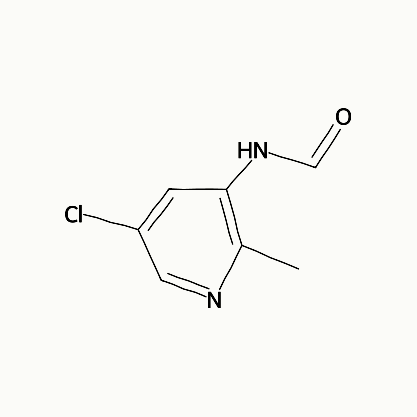 Cc1ncc(Cl)cc1NC=O